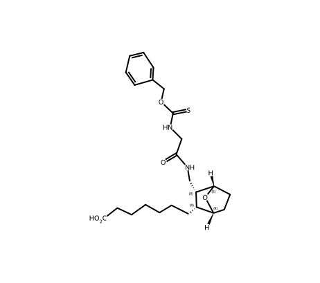 O=C(O)CCCCCC[C@@H]1[C@H](CNC(=O)CNC(=S)OCc2ccccc2)[C@@H]2CC[C@H]1O2